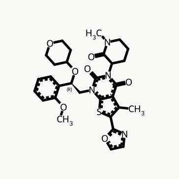 COc1ccccc1[C@H](Cn1c(=O)n(C2CCCN(C)C2=O)c(=O)c2c(C)c(-c3ncco3)sc21)OC1CCOCC1